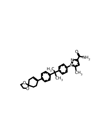 Cc1cc(C(N)=O)nn1-c1ccc(C(C)(C)c2ccc(C3=CCC4(CC3)OCCO4)cc2)cc1